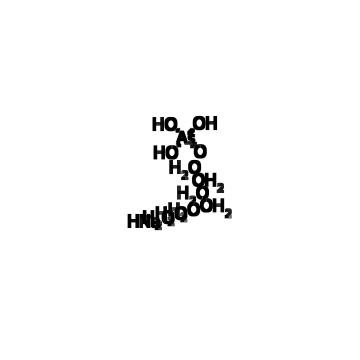 O.O.O.O.O.O.O.O=[As](O)(O)O.[NaH]